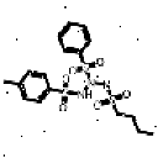 CCCCS(=O)(=O)[N]N(NS(=O)(=O)c1ccc(C)cc1)S(=O)(=O)c1ccccc1